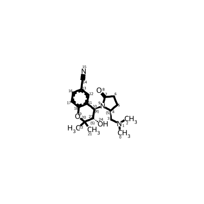 CN(C)C[C@@H]1CCC(=O)N1[C@@H]1c2cc(C#N)ccc2OC(C)(C)[C@H]1O